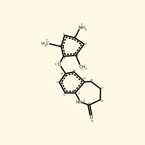 Cc1cc(N)cc(C)c1Oc1ccc2c(c1)CCCC(=O)N2